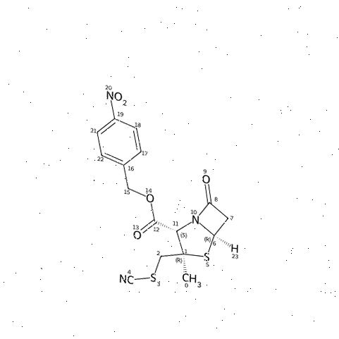 C[C@@]1(CSC#N)S[C@@H]2CC(=O)N2[C@H]1C(=O)OCc1ccc([N+](=O)[O-])cc1